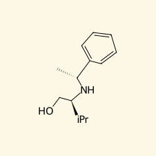 CC(C)[C@@H](CO)N[C@H](C)c1ccccc1